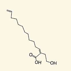 C=CCCCCCCCCCC=C(CCO)C(=O)O